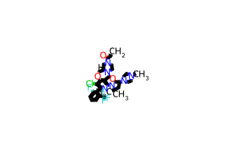 C=CC(=O)N1CCN2C(=O)c3c(N4CC(N5CCN(C)CC5)CC4(C)C)nc(-c4c(F)cccc4C(F)(F)F)c(Cl)c3OC[C@H]2C1